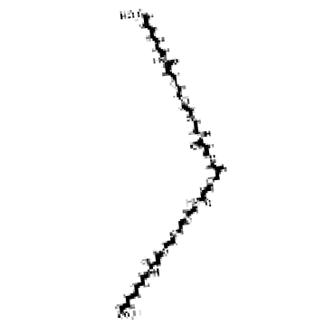 CC(COCCC(=O)NCCOCCOCCOCCC(=O)NCCCCCCCC(=O)O)COCCC(=O)NCCOCCOCCOCCC(=O)NCCCCCCCC(=O)O